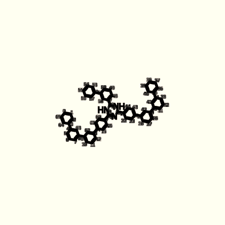 c1ccc(-c2cccc(-c3cccc(-c4ccc(C5=NC(c6ccc(-c7cccc(-c8cccc(-c9ccccc9)c8)c7)cc6)NC(c6cccc(-c7ccccc7)c6)N5)cc4)c3)c2)cc1